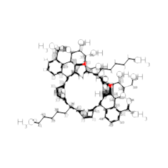 CCCCCCc1c2nc(c(-c3cccc(C(C)=O)c3C3O[C@H](CO)[C@@H](O)[C@@H](O)[C@H]3O)c3ccc([nH]3)c(CCCCCC)c3nc(c(-c4cccc(C(C)=O)c4C4O[C@H](CO)[C@@H](O)[C@@H](O)[C@H]4O)c4ccc1[nH]4)C=C3)C=C2